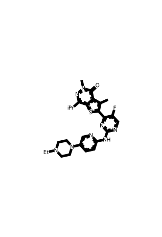 CCN1CCN(c2ccc(Nc3ncc(F)c(-c4sc5c(C(C)C)nn(C)c(=O)c5c4C)n3)nc2)CC1